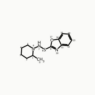 CC1CCCCN1NSc1nc2ccccc2o1